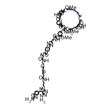 CO[C@H]1C[C@@H]2CC[C@@H](C)[C@@](O)(O2)C(=O)C(=O)N2CCCC[C@H]2C(=O)O[C@H]([C@H](N)C[C@@H]2CC[C@@H](OC(=O)NCc3cnc(N4CCN(C(=O)CN(C)CC(=O)NCCOCCOCCC(=O)NCCCCn5nc(-c6ccc7oc(N)nc7c6)c6c(N)ncnc65)CC4)nc3)[C@H](OC)C2)C[C@@H](OC)[C@H](C)/C=C(\C)[C@@H](O)[C@@H](O)C(=O)[C@H](C)C[C@H](C)/C=C/C=C/C=C/1C